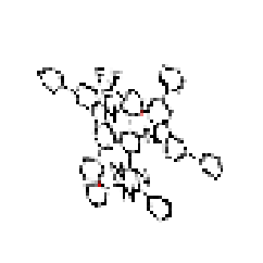 FC(F)(F)c1cccc(-c2ccc(-c3nc(-c4ccccc4)nc(-c4ccccc4)n3)cc2-n2c3ccc(-c4ccccc4)cc3c3cc(-c4ccccc4)ccc32)c1-n1c2ccc(-c3ccccc3)cc2c2cc(-c3ccccc3)ccc21